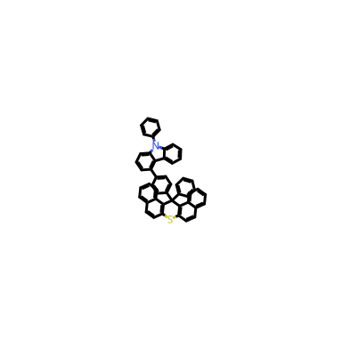 c1ccc(-n2c3ccccc3c3c(-c4ccc(C5(c6ccccc6)c6c(ccc7ccccc67)Sc6ccc7ccccc7c65)cc4)cccc32)cc1